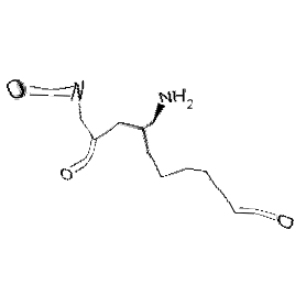 N[C@@H](CCC=O)C(=O)N=O